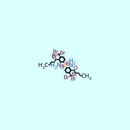 CCCCC(=O)c1c(C(Br)(Br)Br)ccc(S(=O)(=O)c2ccc(C(Br)(Br)Br)c(C(=O)CCCC)c2N)c1N